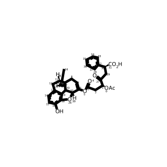 CC(=O)O[C@@H](CC(=O)OC1=CC[C@@]2(O)[C@H]3Cc4ccc(O)c5c4[C@@]2(CCN3C)[C@H]1O5)C(=O)C[C@H](C(=O)O)c1ccccc1